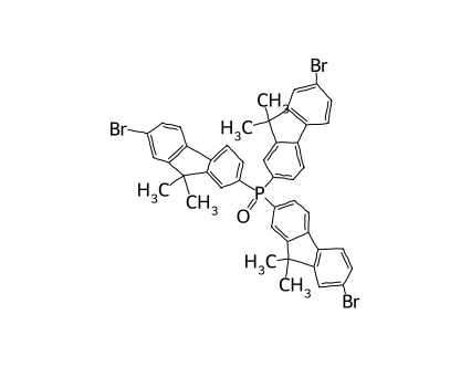 CC1(C)c2cc(Br)ccc2-c2ccc(P(=O)(c3ccc4c(c3)C(C)(C)c3cc(Br)ccc3-4)c3ccc4c(c3)C(C)(C)c3cc(Br)ccc3-4)cc21